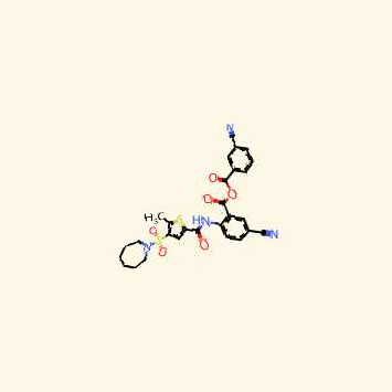 Cc1sc(C(=O)Nc2ccc(C#N)cc2C(=O)OC(=O)c2cccc(C#N)c2)cc1S(=O)(=O)N1CCCCCC1